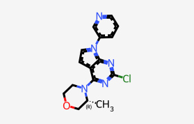 C[C@@H]1COCCN1c1nc(Cl)nc2c1ccn2-c1cccnc1